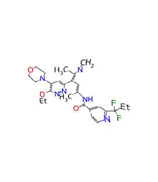 C=N/C(C)=C(\C=C(/C)NC(=O)c1ccnc(C(F)(F)CC)c1)c1cc(N2CCOCC2)c(OCC)nn1